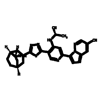 CC(=O)N[C@@H]1C[C@@H]2CC[C@H]1CN(c1nnc(-c3cnc(-c4ccc5cc(C#N)cnn45)cc3N[C@H](C)C#N)s1)C2